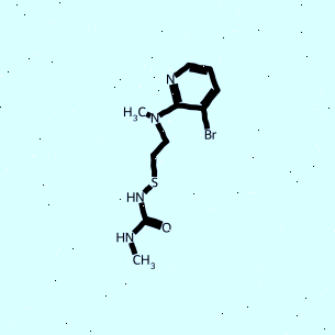 CNC(=O)NSCCN(C)c1ncccc1Br